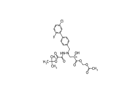 CC(=O)OCOC(=O)[C@H](O)CN(Cc1ccc(-c2cc(Cl)ccc2F)cc1)NC(=O)C(=O)OC(C)(C)C